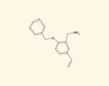 C=Cc1ccc(OCc2ccccc2)c(CN)c1